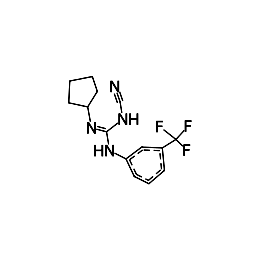 N#CN/C(=N\C1CCCC1)Nc1cccc(C(F)(F)F)c1